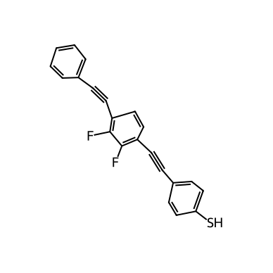 Fc1c(C#Cc2ccccc2)ccc(C#Cc2ccc(S)cc2)c1F